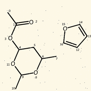 CC(=O)OC1CC(C)OC(C)O1.c1ccoc1